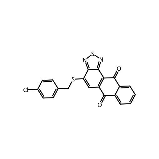 O=C1c2ccccc2C(=O)c2c1cc(SCc1ccc(Cl)cc1)c1nsnc21